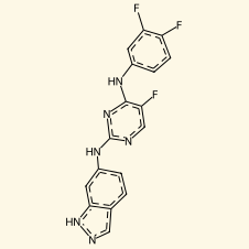 Fc1ccc(Nc2nc(Nc3ccc4cn[nH]c4c3)ncc2F)cc1F